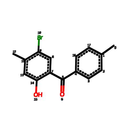 Cc1ccc(C(=O)c2cc(Br)c(C)cc2O)cc1